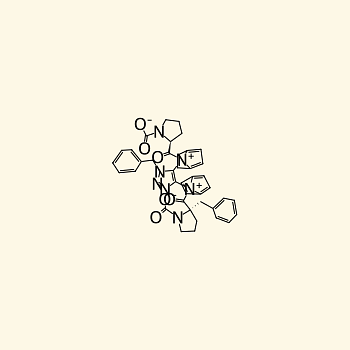 O=C([O-])N1CCC[C@H]1C(=O)[N+]1(c2c([N+]3(C(=O)[C@@]4(Cc5ccccc5)CCCN4C(=O)[O-])C4=CC=C3C=C4)nnn2Cc2ccccc2)C2=CC=C1C=C2